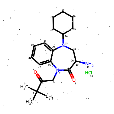 CC(C)(C)C(=O)CN1C(=O)[C@H](N)CN(C2CCCCC2)c2ccccc21.Cl